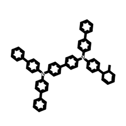 CC1C=CC=CC1c1ccc(N(c2ccc(-c3ccccc3)cc2)c2ccc(-c3ccc(N(c4ccc(-c5ccccc5)cc4)c4ccc(-c5ccccc5)cc4)cc3)cc2)cc1